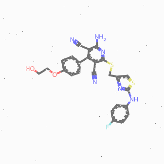 N#Cc1c(N)nc(SCc2csc(Nc3ccc(F)cc3)n2)c(C#N)c1-c1ccc(OCCO)cc1